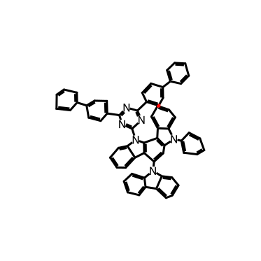 c1ccc(-c2ccc(-c3nc(-c4ccc(-c5ccccc5)cc4)nc(-n4c5ccccc5c5c(-n6c7ccccc7c7ccccc76)cc6c(c7ccccc7n6-c6ccccc6)c54)n3)cc2)cc1